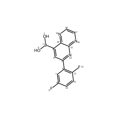 OB(O)c1cc(-c2cc(F)ccc2F)nc2nccnc12